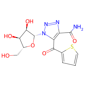 NC(=O)c1nnn([C@@H]2O[C@H](CO)[C@@H](O)[C@H]2O)c1C(=O)c1cccs1